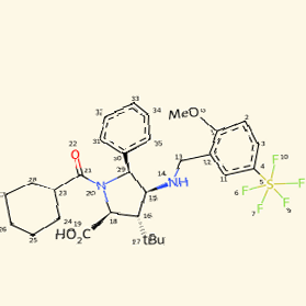 COc1ccc(S(F)(F)(F)(F)F)cc1CN[C@H]1[C@H](C(C)(C)C)[C@@H](C(=O)O)N(C(=O)C2CCCCC2)[C@H]1c1ccccc1